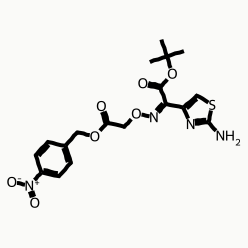 CC(C)(C)OC(=O)C(=NOCC(=O)OCc1ccc([N+](=O)[O-])cc1)c1csc(N)n1